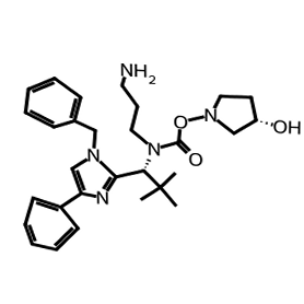 CC(C)(C)[C@H](c1nc(-c2ccccc2)cn1Cc1ccccc1)N(CCCN)C(=O)ON1CC[C@H](O)C1